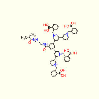 C=C(C)C(=O)NCCCNC(=O)c1cc(-c2cc(-c3ccc[n+](Cc4ccccc4B(O)O)c3)c[n+](Cc3ccccc3B(O)O)c2)cc(-c2cc(-c3ccc[n+](Cc4ccccc4B(O)O)c3)c[n+](Cc3ccccc3B(O)O)c2)c1